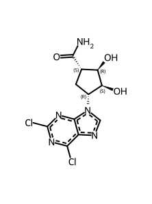 NC(=O)[C@H]1C[C@@H](n2cnc3c(Cl)nc(Cl)nc32)[C@H](O)[C@@H]1O